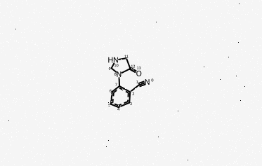 N#Cc1ccccc1N1CNCC1=O